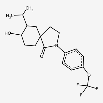 CC(C)C1CC2(CCC1O)CCN(c1ccc(OC(F)(F)F)cc1)C2=O